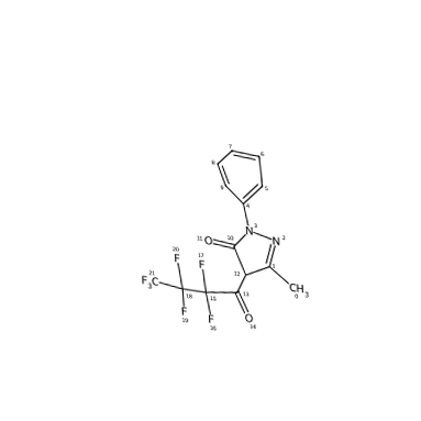 CC1=NN(c2ccccc2)C(=O)C1C(=O)C(F)(F)C(F)(F)C(F)(F)F